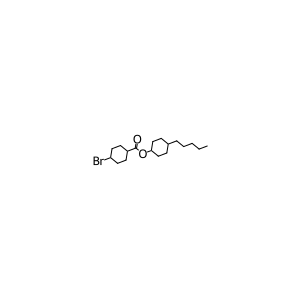 CCCCCC1CCC(OC(=O)C2CCC(Br)CC2)CC1